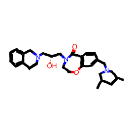 CC1CC(C)CN(Cc2ccc3c(c2)OCCN(C[C@H](O)CN2CCc4ccccc4C2)C3=O)C1